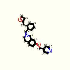 C1=CC(CN2CCc3ccc(OCc4ccncc4)cc3C2)[C@@H](CC2CCO2)C=C1